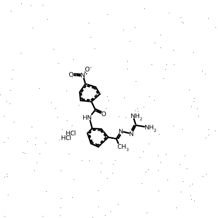 CC(=NN=C(N)N)c1cccc(NC(=O)c2ccc([N+](=O)[O-])cc2)c1.Cl.Cl